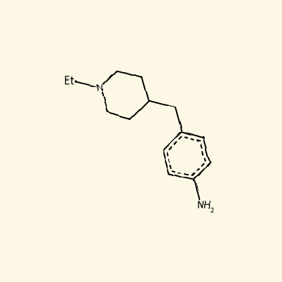 CCN1CCC(Cc2ccc(N)cc2)CC1